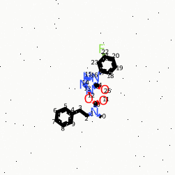 CN(CCc1ccccc1)C(=O)On1nnn(-c2cccc(F)c2)c1=O